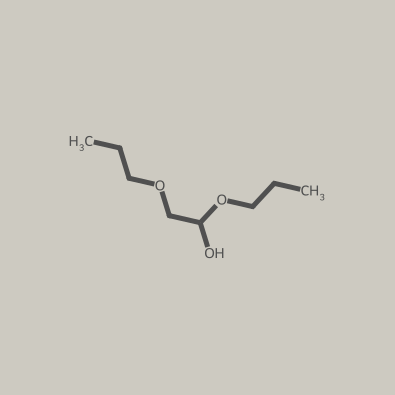 CCCOCC(O)OCCC